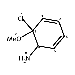 COC1(Cl)C=CC=CC1N